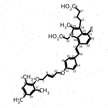 Cc1cc(C)c(OCC=CCOc2ccc(C=Cc3ccc(F)c4c(CCCC(=O)O)c(C)n(CC(=O)O)c34)cc2)c(C)c1